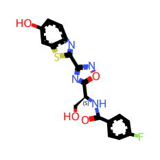 O=C(N[C@@H](CO)c1nc(-c2nc3ccc(O)cc3s2)no1)c1ccc(F)cc1